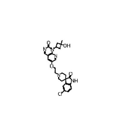 CC1(O)CC(n2c(=O)ncc3cc(OCCN4CCC5(CC4)C(=O)Nc4ccc(Cl)cc45)cnc32)C1